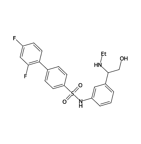 CCNC(CO)c1cccc(NS(=O)(=O)c2ccc(-c3ccc(F)cc3F)cc2)c1